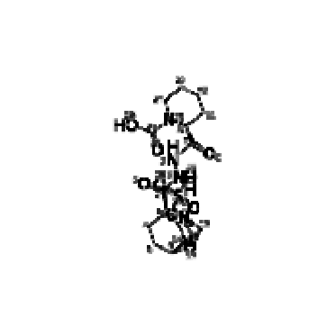 O=C(NNC(=O)[C@@H]1CCC23CN1C(O2)N3OS(=O)(=O)O)[C@@H]1CCCCN1C(=O)O